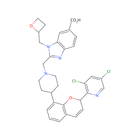 O=C(O)c1ccc2nc(CN3CCC(c4cccc5c4OC(c4ncc(Cl)cc4Cl)C=C5)CC3)n(CC3CCO3)c2c1